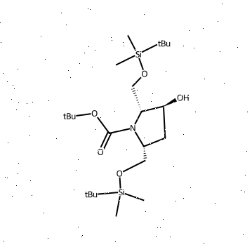 CC(C)(C)OC(=O)N1[C@@H](CO[Si](C)(C)C(C)(C)C)C[C@H](O)[C@H]1CO[Si](C)(C)C(C)(C)C